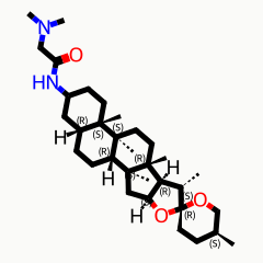 C[C@H]1CC[C@@]2(OC1)O[C@H]1C[C@@]3(C)[C@@H]4CC[C@@H]5CC(NC(=O)CN(C)C)CC[C@]5(C)[C@@]4(C)CC[C@]3(C)[C@H]1[C@@H]2C